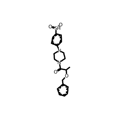 CC(OCc1ccccc1)C(=O)N1CCN(c2ccc([SH](=O)=O)cc2)CC1